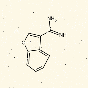 N=C(N)c1coc2ccccc12